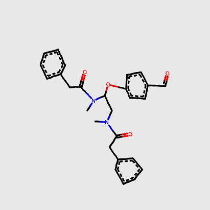 CN(CC(Oc1ccc(C=O)cc1)N(C)C(=O)Cc1ccccc1)C(=O)Cc1ccccc1